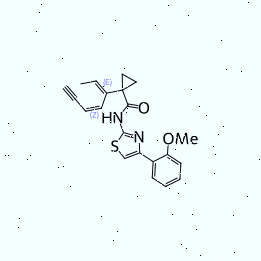 C#C/C=C\C(=C/C)C1(C(=O)Nc2nc(-c3ccccc3OC)cs2)CC1